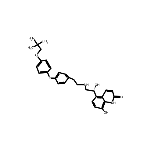 CC(C)(N)COc1ccc(Oc2ccc(CCNC[C@H](O)c3ccc(O)c4[nH]c(=O)ccc34)cc2)cc1